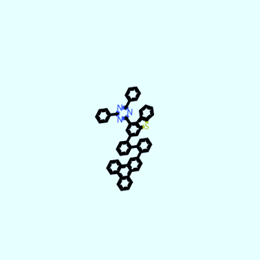 c1ccc(-c2nc(-c3ccccc3)nc(-c3cc(-c4ccccc4-c4ccccc4-c4ccc5c6ccccc6c6ccccc6c5c4)cc4sc5ccccc5c34)n2)cc1